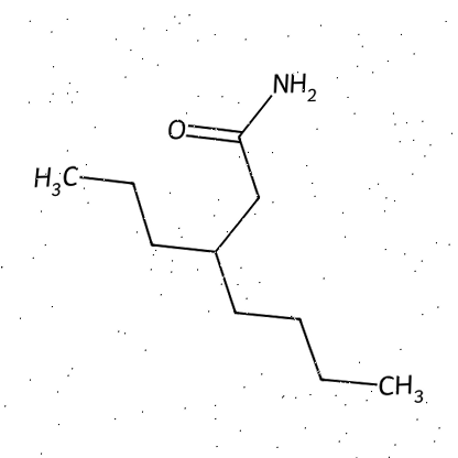 CCCCC(CCC)CC(N)=O